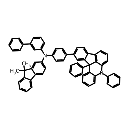 CC1(C)c2ccccc2-c2ccc(N(c3ccc(-c4ccc5c(c4)C4(c6ccccc6)c6ccccc6N(c6ccccc6)c6cccc-5c64)cc3)c3cccc(-c4ccccc4)c3)cc21